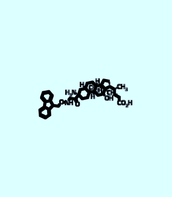 C[C@H](CCC(=O)O)[C@H]1CC[C@H]2[C@@H]3CC[C@@H]4C[C@](N)(C(=O)CNOCC5c6ccccc6-c6ccccc65)CC[C@]4(C)[C@H]3C[C@H](O)[C@]12C